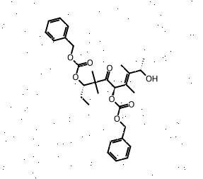 CC[C@H](OC(=O)OCc1ccccc1)C(C)(C)C(=O)[C@H](OC(=O)OCc1ccccc1)/C(C)=C(\C)[C@H](C)O